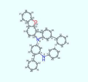 c1ccc(Nc2cc(-n3c4cc(-c5ccccc5)ccc4c4c5oc6ccccc6c5ccc43)ccc2-c2ccccc2)cc1